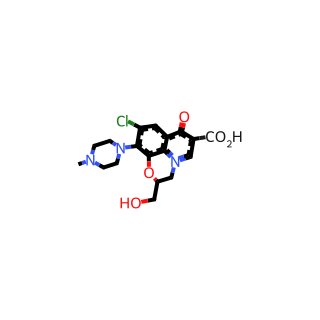 CN1CCN(c2c(Cl)cc3c(=O)c(C(=O)O)cn4c3c2OC(CO)C4)CC1